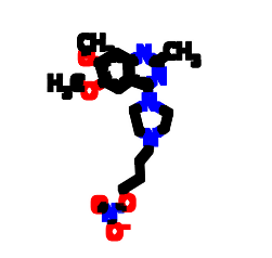 COc1cc2nc(C)nc(N3CCN(CCCCO[N+](=O)[O-])CC3)c2cc1OC